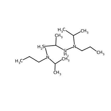 CCCN([SiH2]C(C)[SiH2]N(CCC)C(C)C)C(C)C